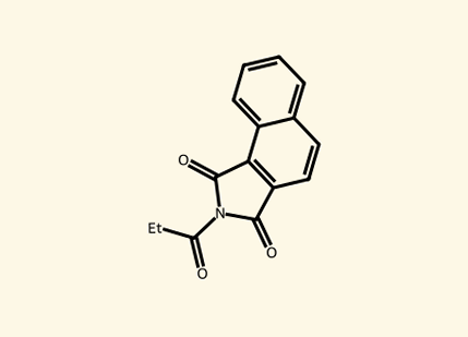 CCC(=O)N1C(=O)c2ccc3ccccc3c2C1=O